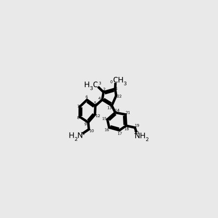 CC1=C(C)C(c2cccc(CN)c2)=C(c2cccc(CN)c2)C1